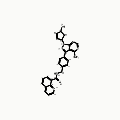 Nc1ncnc2c1c(-c1ccc(CNC(=O)c3cccc4cccnc34)cc1)nn2C1C=CC(O)C1